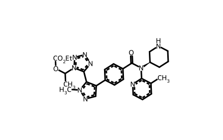 CCOC(=O)OC(C)n1nnnc1-c1c(-c2ccc(C(=O)N(c3ncccc3C)[C@@H]3CCCNC3)cc2)cnn1C